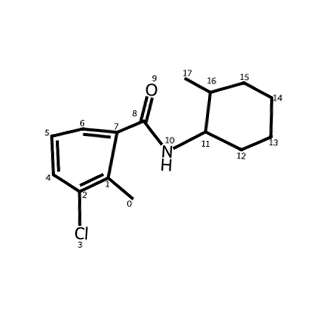 Cc1c(Cl)cccc1C(=O)NC1CCCCC1C